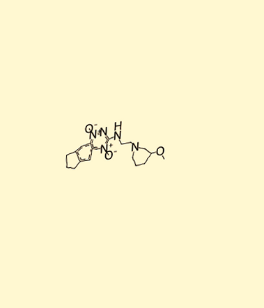 COC1CCCN(CCNc2n[n+]([O-])c3cc4c(cc3[n+]2[O-])CCC4)C1